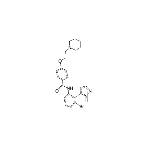 O=C(Nc1cccc(Br)c1-c1ccn[nH]1)c1ccc(OCCN2CCCCC2)cc1